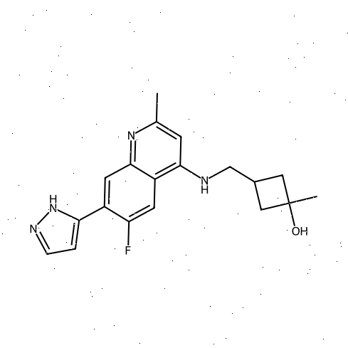 Cc1cc(NCC2CC(C)(O)C2)c2cc(F)c(-c3ccn[nH]3)cc2n1